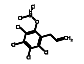 C=CCc1c(Cl)c(Cl)c(Cl)c(Cl)c1O[SiH](Cl)Cl